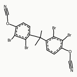 CC(C)(c1ccc(OC#N)c(Br)c1Br)c1ccc(OC#N)c(Br)c1Br